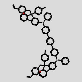 C=Cc1ccc(CC2(c3ccc(C)cc3)c3ccccc3-c3ccc(N(c4ccccc4)c4ccc(-c5ccc(-c6ccc(N(c7ccccc7)c7ccc8c(c7)C(Cc7ccc(C=C)cc7)(c7ccc(C)cc7)c7ccccc7-8)cc6)cc5)cc4)cc32)cc1